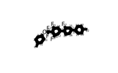 Cc1ccc(OC(F)(F)c2c(F)cc(-c3ccc(-c4ccc(C)cc4)cc3F)cc2F)cc1